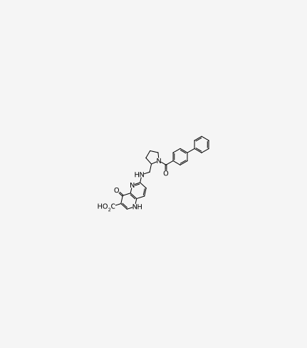 O=C(O)c1c[nH]c2ccc(NCC3CCCN3C(=O)c3ccc(-c4ccccc4)cc3)nc2c1=O